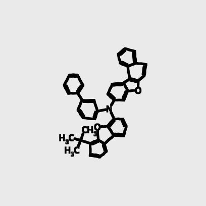 CC(C)(C)c1cccc2c1oc1c(N(c3cccc(-c4ccccc4)c3)c3ccc4c(c3)oc3ccc5ccccc5c34)cccc12